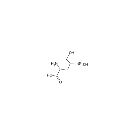 C#CC(CO)CC(N)C(=O)O